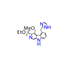 CCOC(=O)c1ncc2[nH]c3cccc(Cc4ncc[nH]4)c3c2c1COC